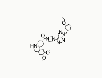 CCOc1cccc(Cn2ncc3c(N4CCN(C(=O)[C@H]5CC[C@@]6(CC5)NCCc5cc(OC)c(OC)cc56)CC4)ncnc32)c1